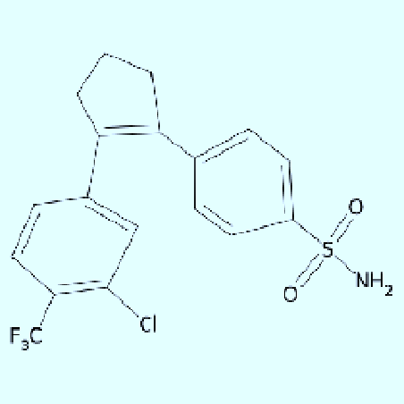 NS(=O)(=O)c1ccc(C2=C(c3ccc(C(F)(F)F)c(Cl)c3)CCC2)cc1